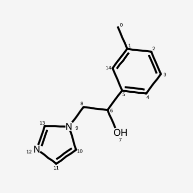 Cc1cccc(C(O)Cn2ccnc2)c1